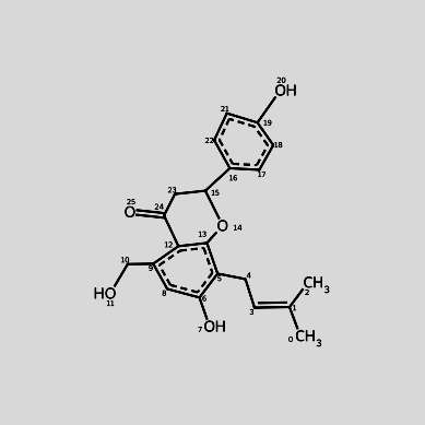 CC(C)=CCc1c(O)cc(CO)c2c1OC(c1ccc(O)cc1)CC2=O